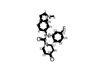 Cn1ccc2ccc(NC(=O)N3C=CC(=O)C[C@H]3c3ccc(F)cc3)cc21